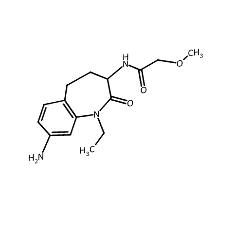 CCN1C(=O)C(NC(=O)COC)CCc2ccc(N)cc21